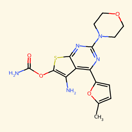 Cc1ccc(-c2nc(N3CCOCC3)nc3sc(OC(N)=O)c(N)c23)o1